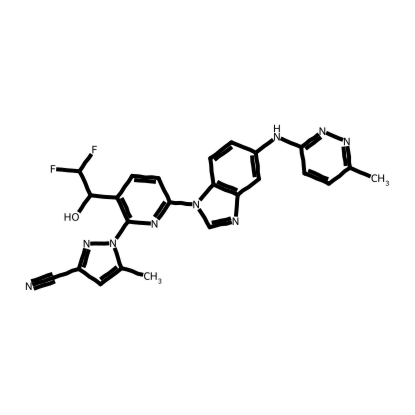 Cc1ccc(Nc2ccc3c(c2)ncn3-c2ccc(C(O)C(F)F)c(-n3nc(C#N)cc3C)n2)nn1